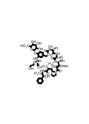 C#CP(=O)(Nc1cc(COC(=O)N(C)[C@@H](C(=O)N[C@@H](C(=O)N(C)[C@H]([C@H](C)CC)[C@H](CC(=O)N2CCC[C@@H]2[C@@H](OC)[C@H](C)C(=O)N[C@@H](C)[C@H](O)c2ccccc2)OC)C(C)C)C(C)C)ccc1O[C@@H]1OC(C(=O)O)[C@@H](O)[C@H](O)C1O)OCCO